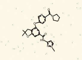 Cn1ccc(NC(=O)c2cc(Oc3ccc(C(=O)N4CCCC4)nc3)c3c(c2)OC(C)(C)C3)n1